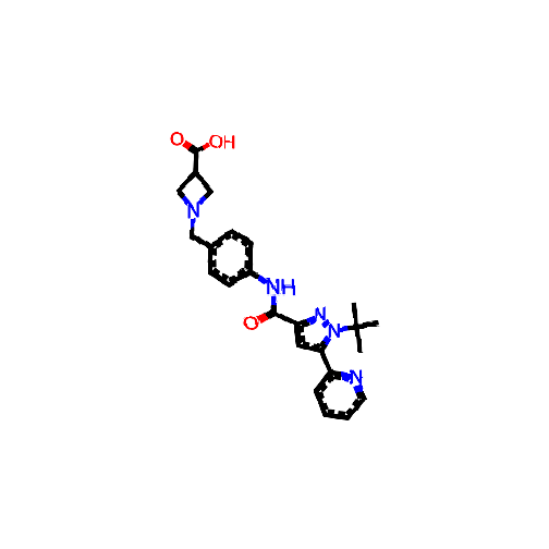 CC(C)(C)n1nc(C(=O)Nc2ccc(CN3CC(C(=O)O)C3)cc2)cc1-c1ccccn1